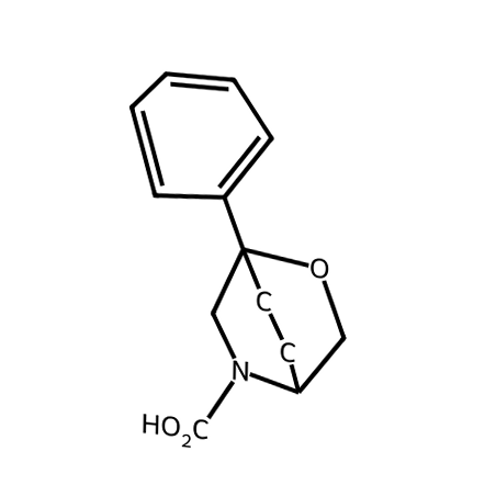 O=C(O)N1CC2(c3ccccc3)CCC1CO2